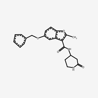 Cc1oc2ccc(OCc3ccccc3)cc2c1C(=O)NC1CCNC(=O)C1